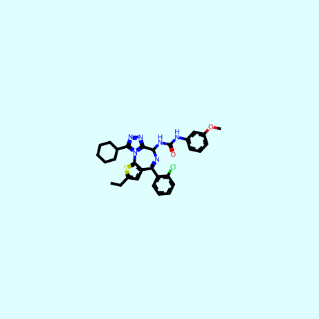 CCc1cc2c(s1)-n1c(C3CCCCC3)nnc1C(NC(=O)Nc1cccc(OC)c1)N=C2c1ccccc1Cl